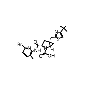 Cc1ccc(Br)nc1NC(=O)[C@@H]1C[C@@]2(Cc3nc(C(C)(C)C)cs3)C[C@H]2N1C(=O)O